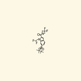 CC1(C)OB(c2ccc3cc(C(=O)N4CC(F)(F)C4)n(CC(F)F)c3c2)OC1(C)C